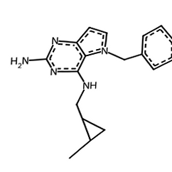 CC1CC1CNc1nc(N)nc2ccn(Cc3ccccc3)c12